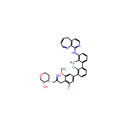 COc1cc(-c2cccc(-c3cccc(Nc4nccc5c4N=CC=CC5)c3C)c2Cl)cc(F)c1CC(=N)C[C@H]1CCOC[C@H]1O